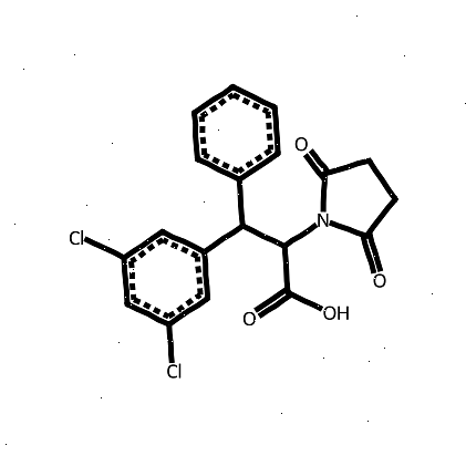 O=C(O)C(C(c1ccccc1)c1cc(Cl)cc(Cl)c1)N1C(=O)CCC1=O